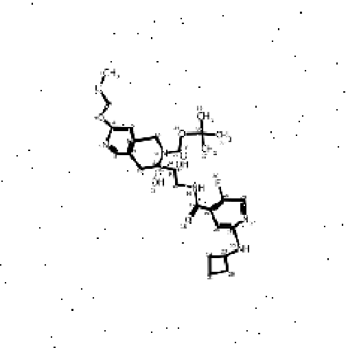 COCOc1cc2c(cn1)C[C@](O)([C@H](O)CNC(=O)c1cc(NC3CCC3)ncc1F)N(C(=O)OC(C)(C)C)C2